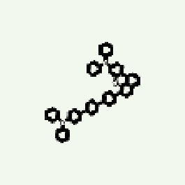 c1ccc(N(c2ccccc2)c2ccc(-c3ccc(-c4ccc(-c5ccc6cccc7c6c5Oc5cc(N(c6ccccc6)c6ccccc6)ccc5-7)cc4)cc3)cc2)cc1